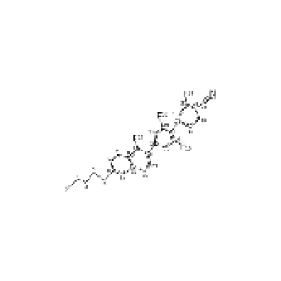 CCCCCc1ccc2c(F)c(-c3cc(F)c(-c4ccc(C#N)c(F)c4)c(F)c3)ccc2c1